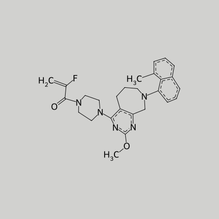 C=C(F)C(=O)N1CCN(c2nc(OC)nc3c2CCCN(c2cccc4cccc(C)c24)C3)CC1